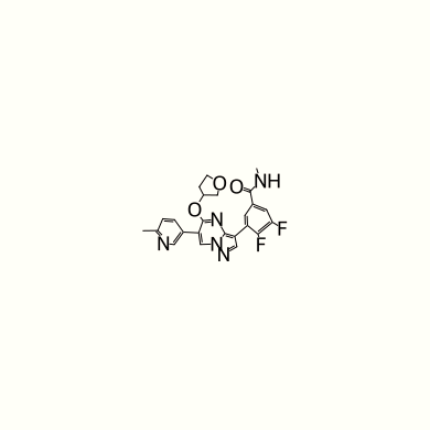 CNC(=O)c1cc(F)c(F)c(-c2cnn3cc(-c4ccc(C)nc4)c(OC4CCOC4)nc23)c1